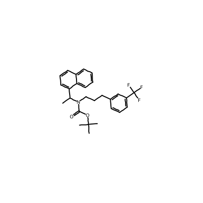 CC(c1cccc2ccccc12)N(CCCc1cccc(C(F)(F)F)c1)C(=O)OC(C)(C)C